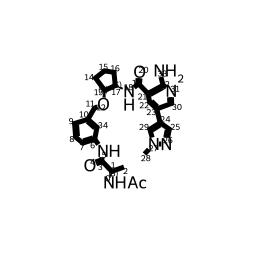 CC(=O)N[C@@H](C)C(=O)Nc1cccc(CO[C@H]2CCC[C@@H]2NC(=O)c2cc(-c3cnn(C)c3)cnc2N)c1